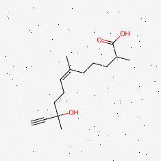 C#CC(C)(O)CCC=C(C)CCCC(C)C(=O)O